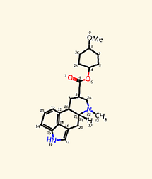 COC1CCC(OC(=O)C2CC3c4cccc5[nH]cc(c45)C[C@H]3N(C)C2)CC1